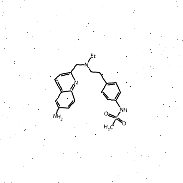 CCN(CCc1ccc(NS(C)(=O)=O)cc1)Cc1ccc2cc(N)ccc2n1